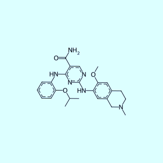 COc1cc2c(cc1Nc1ncc(C(N)=O)c(Nc3ccccc3OC(C)C)n1)CN(C)CC2